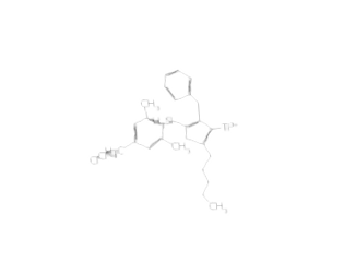 CCCCCC1=[C]([Ti+3])C(Cc2ccccc2)=C([SiH2]c2c(C)cc(C)cc2C)C1.[Cl-].[Cl-].[Cl-]